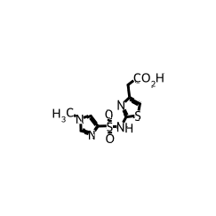 Cn1cnc(S(=O)(=O)Nc2nc(CC(=O)O)cs2)c1